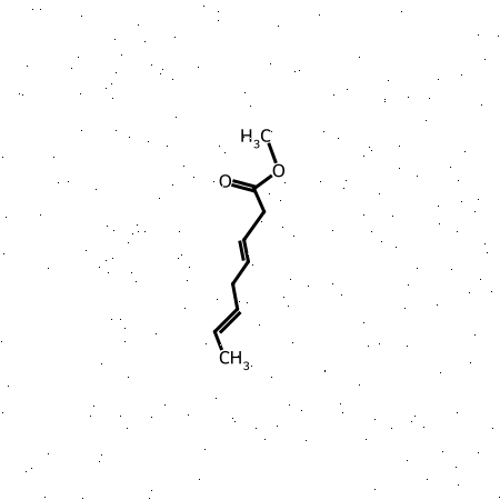 C/C=C/C/C=C/CC(=O)OC